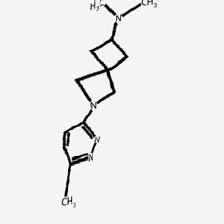 Cc1ccc(N2CC3(CC(N(C)C)C3)C2)nn1